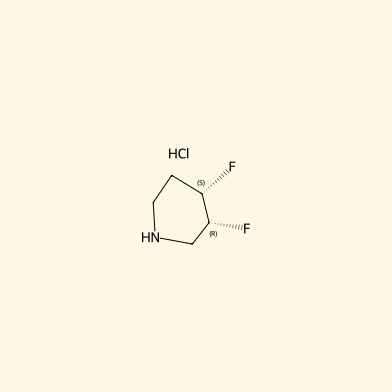 Cl.F[C@@H]1CNCC[C@@H]1F